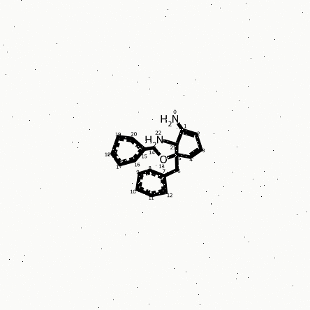 NC1=CC=CC(Cc2ccccc2)(OCc2ccccc2)C1N